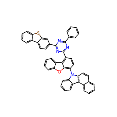 c1ccc(-c2nc(-c3ccc4c(c3)sc3ccccc34)nc(-c3ccc(-n4c5ccccc5c5c6ccccc6ccc54)c4oc5ccccc5c34)n2)cc1